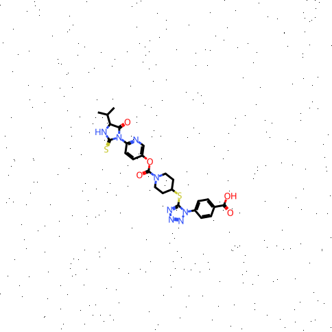 CC(C)C1NC(=S)N(c2ccc(OC(=O)N3CCC(Sc4nnnn4-c4ccc(C(=O)O)cc4)CC3)cn2)C1=O